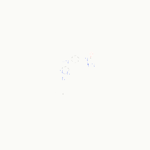 CC(C)C1CCN(c2ncc(Nc3ccc(CNC(=O)[C@H]4CCCN4)cc3)cn2)CC1